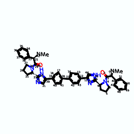 CNC(C(=O)N1CCC[C@H]1c1nc(-c2ccc(-c3ccc(-c4cnc([C@@H]5CCCN5C(=O)[C@H](NC)c5ccccc5)[nH]4)cc3)cc2)c[nH]1)c1ccccc1